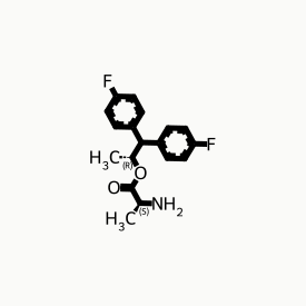 C[C@H](N)C(=O)O[C@H](C)C(c1ccc(F)cc1)c1ccc(F)cc1